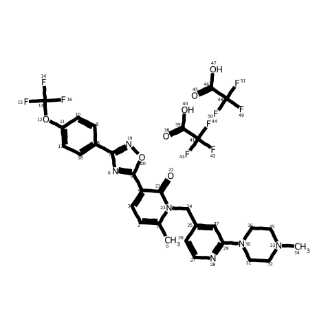 Cc1ccc(-c2nc(-c3ccc(OC(F)(F)F)cc3)no2)c(=O)n1Cc1ccnc(N2CCN(C)CC2)c1.O=C(O)C(F)(F)F.O=C(O)C(F)(F)F